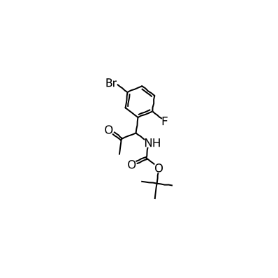 CC(=O)C(NC(=O)OC(C)(C)C)c1cc(Br)ccc1F